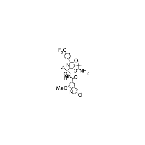 COc1cc(C(=O)NCC(O)(c2cc3c(c(-c4ccc(C(F)(F)F)cc4)n2)OC[C@]3(C)C(N)=O)C2CC2)cc2cc(Cl)cnc12